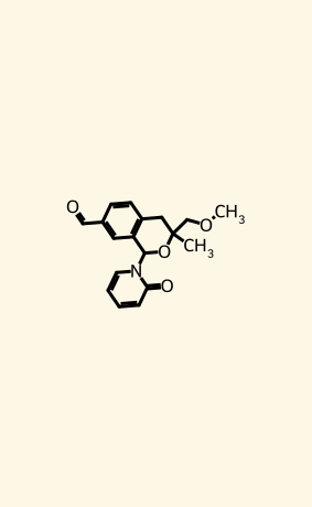 COCC1(C)Cc2ccc(C=O)cc2C(n2ccccc2=O)O1